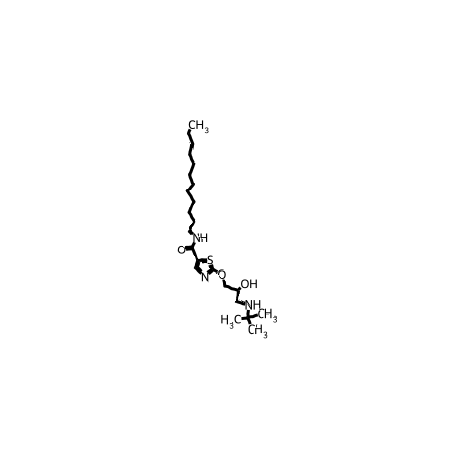 CCCCCCCCCCCCNC(=O)c1cnc(OCC(O)CNC(C)(C)C)s1